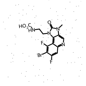 Cn1c(=O)n(CCNC(=O)O)c2c3c(F)c(Br)c(F)cc3ncc21